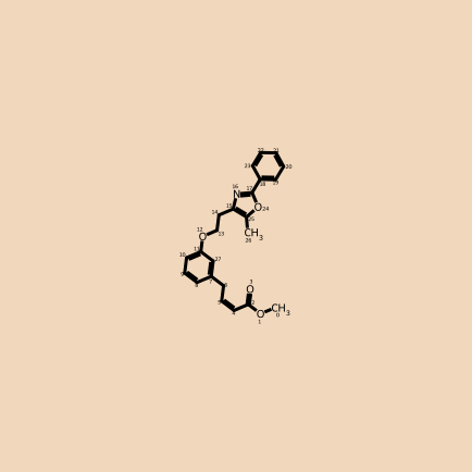 COC(=O)/C=C\Cc1cccc(OCCc2nc(-c3ccccc3)oc2C)c1